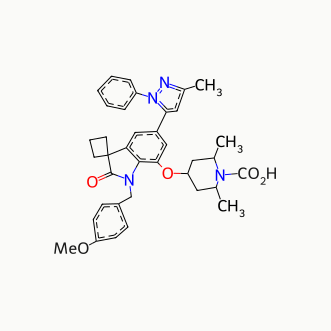 COc1ccc(CN2C(=O)C3(CCC3)c3cc(-c4cc(C)nn4-c4ccccc4)cc(OC4CC(C)N(C(=O)O)C(C)C4)c32)cc1